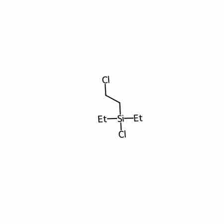 CC[Si](Cl)(CC)CCCl